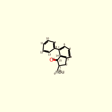 CCCCC1Cc2cccc(-c3ccccc3)c2C1=O